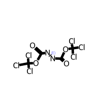 O=C(/N=N/C(=O)OC(Cl)(Cl)Cl)OC(Cl)(Cl)Cl